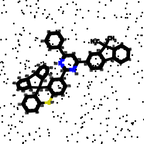 CC1(C)c2ccccc2-c2ccc(-c3cc(-c4ccccc4)nc(-c4ccc5c(c4)C4(c6ccccc6S5)c5ccccc5-c5ccccc54)n3)cc21